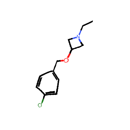 CCN1CC(OCc2ccc(Cl)cc2)C1